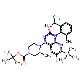 Cc1cccc(C(C)C)c1-n1c(=O)nc(N2CCN(C(=O)OC(C)(C)C)C[C@@H]2C)c2cc(F)[c]([Sn]([CH3])([CH3])[CH3])nc21